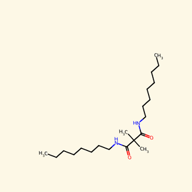 CCCCCCCCNC(=O)C(C)(C)C(=O)NCCCCCCCC